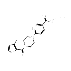 CCCCCCNC(=O)c1ccc(N2CCN(C(=O)c3sccc3C)CC2)nc1